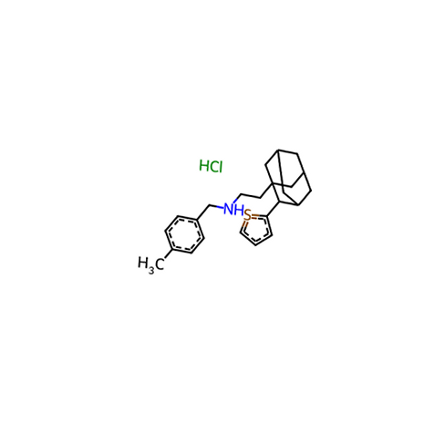 Cc1ccc(CNCCC23CC4CC(CC(C4)C2c2cccs2)C3)cc1.Cl